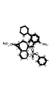 COc1ccc(C2CCCCC2)c2c1cc1n2CC2=C(C(=O)O)C2=C2C=CC[C@@H](S(=O)(=O)Oc3ccccc3)C21